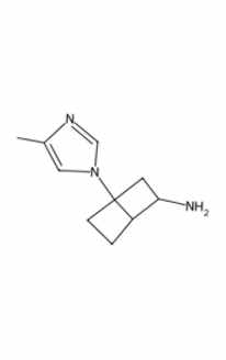 Cc1cn(C23CCC2C(N)C3)cn1